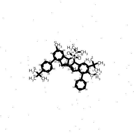 COc1c(C(C)(C)C)cc2c(c1-c1ccccc1)C=C(C)[CH]2[Zr]([Cl])([Cl])([CH]1C(C)=Cc2c(-c3ccc(C(C)(C)C)cc3)cc(C)cc21)[SiH](C)C